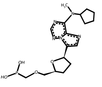 CN(c1ncnn2c([C@H]3CC[C@@H](COCP(O)O)O3)cnc12)C1CCCC1